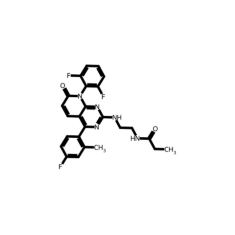 CCC(=O)NCCNc1nc(-c2ccc(F)cc2C)c2ccc(=O)n(-c3c(F)cccc3F)c2n1